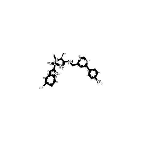 C[C@@H](C(=O)NCc1cc(-c2ccc(C(F)(F)F)cc2)ncn1)N(C)S(=O)(=O)c1cc2cc(F)ccc2o1